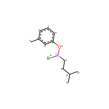 Cc1cccc(OP(Br)CCC(C)C)c1